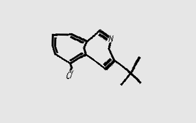 CC(C)(C)c1cc2c(Cl)cccc2cn1